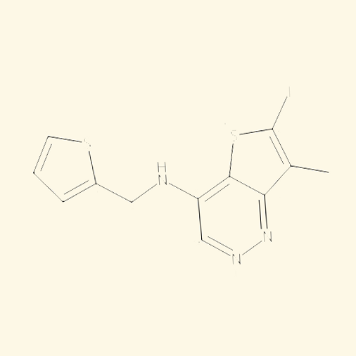 Cc1c(I)sc2c(NCc3cccs3)cnnc12